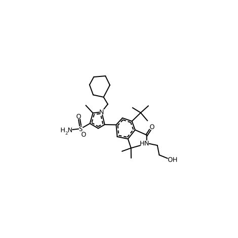 Cc1c(S(N)(=O)=O)cc(-c2cc(C(C)(C)C)c(C(=O)NCCO)c(C(C)(C)C)c2)n1CC1CCCCC1